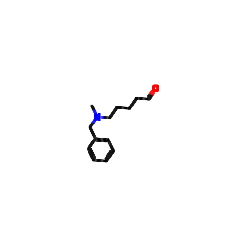 CN(CCCCC=O)Cc1ccccc1